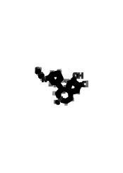 CN1CCc2cc(Cl)c(O)cc2C(c2cccc(N=C=S)c2)C1